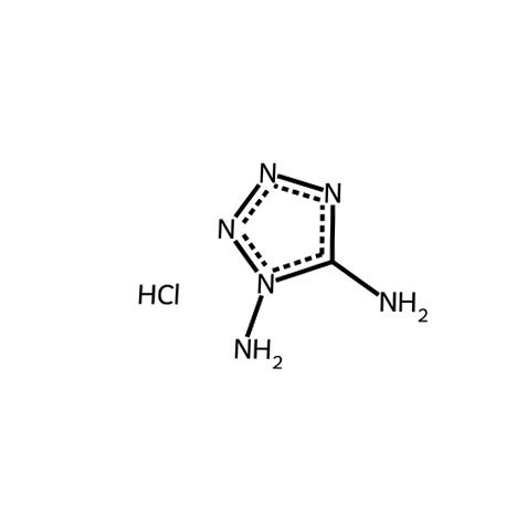 Cl.Nc1nnnn1N